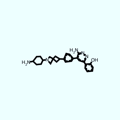 Nc1nnc(-c2ccccc2O)cc1-c1ccc(C2CC3(C2)CN(C2CCC(N)CC2)C3)cc1